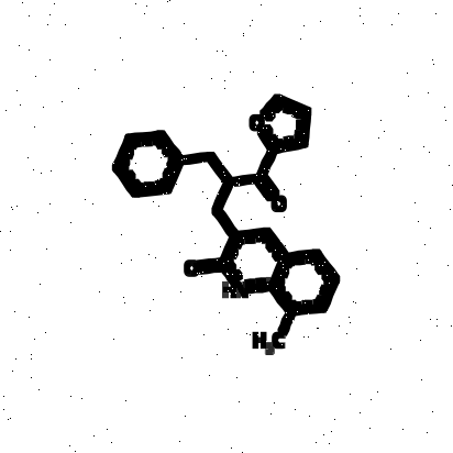 Cc1cccc2cc(CC(Cc3ccccc3)C(=O)c3ccco3)c(=O)[nH]c12